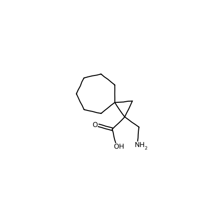 NCC1(C(=O)O)CC12CCCCCC2